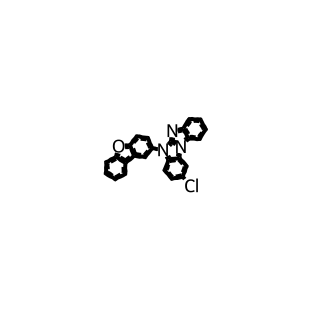 Clc1ccc2c(c1)n1c3ccccc3nc1n2-c1ccc2oc3ccccc3c2c1